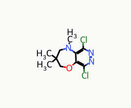 CN1CC(C)(C)COc2c(Cl)nnc(Cl)c21